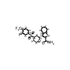 NC(=O)c1sc2ccccc2c1[C@H]1CN(S(=O)(=O)c2ccc(C(F)(F)F)c(F)c2)CCO1